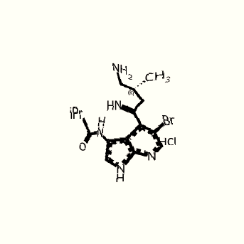 CC(C)C(=O)Nc1c[nH]c2ncc(Br)c(C(=N)C[C@@H](C)CN)c12.Cl